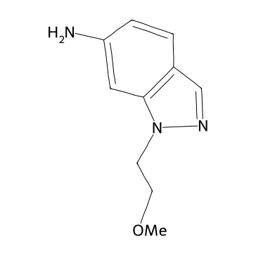 COCCn1ncc2ccc(N)cc21